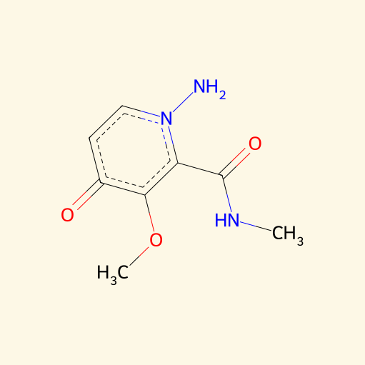 CNC(=O)c1c(OC)c(=O)ccn1N